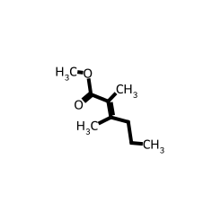 CCC/C(C)=C(\C)C(=O)OC